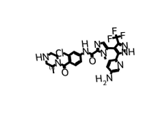 C[C@H]1CNCCN1C(=O)c1ccc(NC(=O)c2ncc(-c3c(C(F)(F)F)n[nH]c3-c3ccc(N)cn3)n2C)cc1Cl